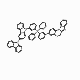 c1ccc([Si](c2ccccc2)(c2cccc(-c3ccc4c(c3)OCc3nc5ccccc5n3-4)c2)c2cccc(-n3c4ccccc4c4cc(-n5c6ccccc6c6ccccc65)ccc43)c2)cc1